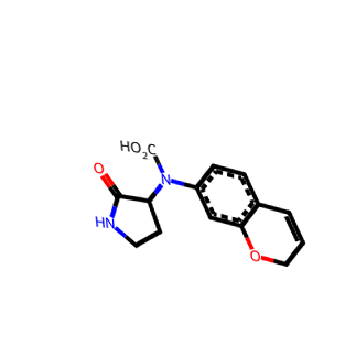 O=C1NCCC1N(C(=O)O)c1ccc2c(c1)OCC=C2